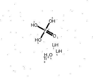 O.O=P(O)(O)O.[LiH].[LiH].[Ti]